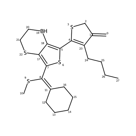 C=C1CSC(c2sc(C(SC)=C3CCCCC3)c3c2BCCS3)=C1CCCC